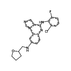 Fc1cccc(Cl)c1Nc1nc2ccc(NCC3CCCO3)cc2n2cncc12